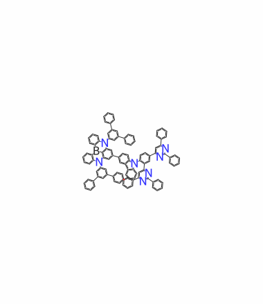 c1ccc(-c2cc(-c3ccccc3)cc(N3c4ccccc4B4c5ccccc5N(c5cc(-c6ccccc6)cc(-c6ccccc6)c5)c5cc(-c6ccc7c(c6)c6ccccc6n7-c6ccc(-c7cc(-c8ccccc8)nc(-c8ccccc8)n7)cc6-c6cc(-c7ccccc7)nc(-c7ccccc7)n6)cc3c54)c2)cc1